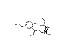 C=C(CC)N(C)N(CC)CC/C(=C/C)c1cc(CCC)ccc1C